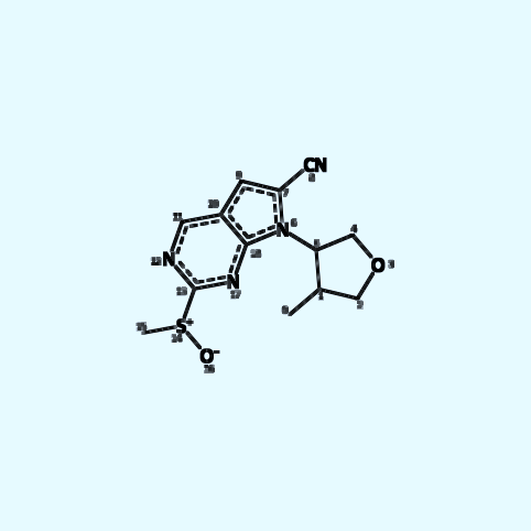 CC1COCC1n1c(C#N)cc2cnc([S+](C)[O-])nc21